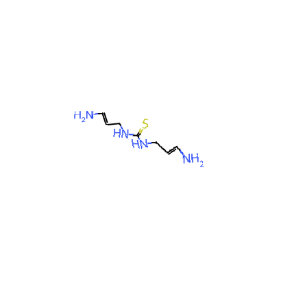 NC=CCNC(=S)NCC=CN